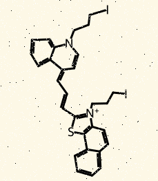 ICCCN1C=CC(=CC=Cc2sc3c4ccccc4ccc3[n+]2CCCI)c2ccccc21